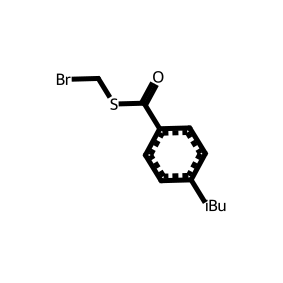 CCC(C)c1ccc(C(=O)SCBr)cc1